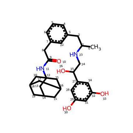 CC(Cc1cccc(CC(=O)NC23CC4CC(CC(C4)C2)C3)c1)NCC(O)c1cc(O)cc(O)c1